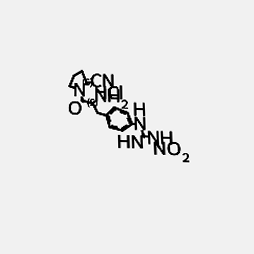 Cl.N#C[C@@H]1CCCN1C(=O)[C@@H](N)Cc1ccc(NC(=N)N[N+](=O)[O-])cc1